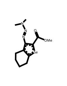 COC(=O)c1[se]c2c(c1N=NN(C)C)CCCC2